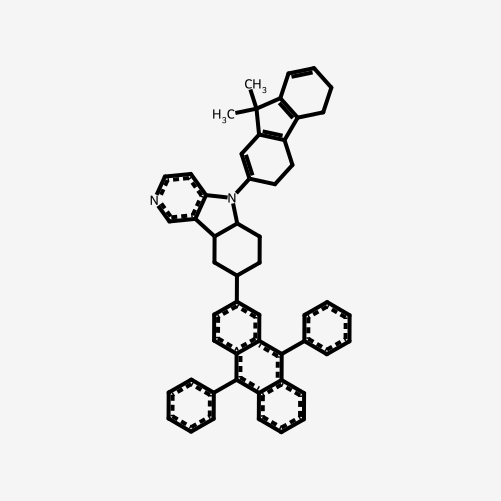 CC1(C)C2=C(CCC=C2)C2=C1C=C(N1c3ccncc3C3CC(c4ccc5c(-c6ccccc6)c6ccccc6c(-c6ccccc6)c5c4)CCC31)CC2